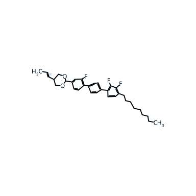 C/C=C/C1COC(c2ccc(-c3ccc(-c4ccc(CCCCCCCCC)c(F)c4F)cc3)c(F)c2)OC1